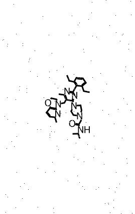 CCc1cccc(CC)c1-c1nc(C)c(CN2CCOc3ccc(C)nc32)c(N2CCN(CC(=O)NC(C)C)CC2)n1